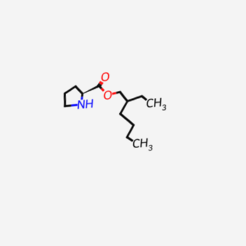 CCCCC(CC)COC(=O)[C@@H]1CCCN1